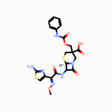 CON=C(C(=O)NC1C(=O)N2CC(COC(=O)Nc3ccccc3)(C(=O)O)CS[C@H]12)c1csc(N)n1